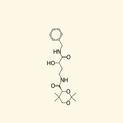 CC1(C)OCC(C)(C)[C@@H](C(=O)NCCC(O)C(=O)NCc2ccccc2)O1